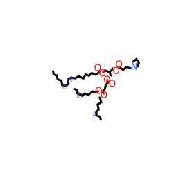 CC/C=C\CCCCOC(CCC(=O)OCC(COC(=O)CCCCCCC/C=C\C/C=C\CCCCC)COC(=O)CCCN1CCCC1)OCCCC/C=C\CC